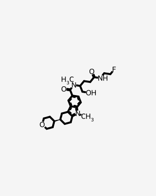 CN(C(=O)c1ccc2c(c1)c1c(n2C)CC[C@@H](C2CCOCC2)C1)C(CO)CCC(=O)NCCF